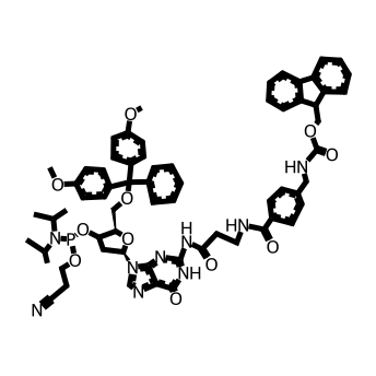 COc1ccc(C(OC[C@H]2O[C@@H](n3cnc4c(=O)[nH]c(NC(=O)CCNC(=O)c5ccc(CNC(=O)OCC6c7ccccc7-c7ccccc76)cc5)nc43)CC2OP(OCCC#N)N(C(C)C)C(C)C)(c2ccccc2)c2ccc(OC)cc2)cc1